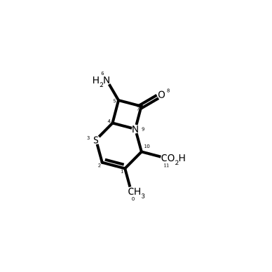 CC1=CSC2C(N)C(=O)N2C1C(=O)O